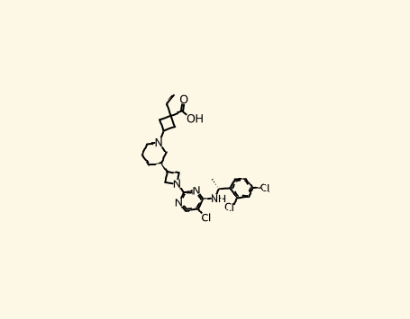 CCC1(C(=O)O)CC(N2CCC[C@H](C3CN(c4ncc(Cl)c(N[C@H](C)c5ccc(Cl)cc5Cl)n4)C3)C2)C1